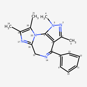 Cc1nn(C)c2c1C(c1ccccc1)=NCc1nc(C)c(C)n1-2